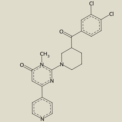 Cn1c(N2CCCC(C(=O)c3ccc(Cl)c(Cl)c3)C2)nc(-c2ccncc2)cc1=O